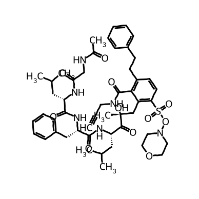 C#CCNC(=O)c1c(CCc2ccccc2)ccc(S(=O)(=O)ON2CCOCC2)c1C[C@@](C)(O)C(=O)[C@H](CC(C)C)NC(=O)[C@H](Cc1ccccc1)NC(=O)[C@H](CC(C)C)NC(=O)CNC(C)=O